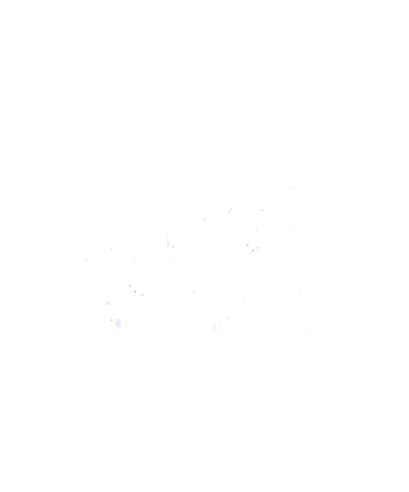 Cc1cc(C)c(Oc2nc(C3=CCCC3)ccc2C(=O)NS(=O)(=O)c2cccc(N)n2)c(C)c1